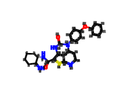 N=C1CCCC[C@@H]1NC(=O)c1sc2nccc3c2c1NC(=O)N3c1ccc(Oc2ccccc2)cc1